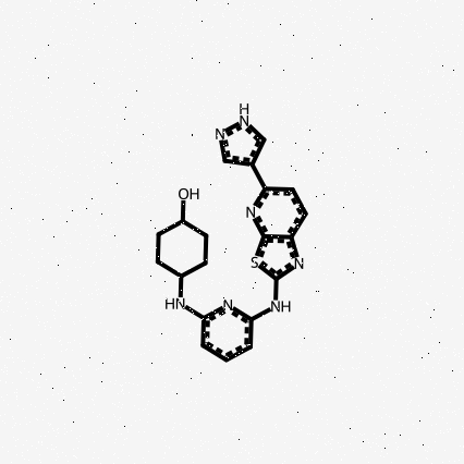 OC1CCC(Nc2cccc(Nc3nc4ccc(-c5cn[nH]c5)nc4s3)n2)CC1